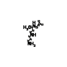 CC(CCNCCCN)NCC1CC1